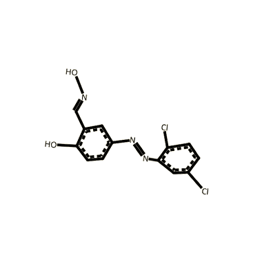 ON=Cc1cc(N=Nc2cc(Cl)ccc2Cl)ccc1O